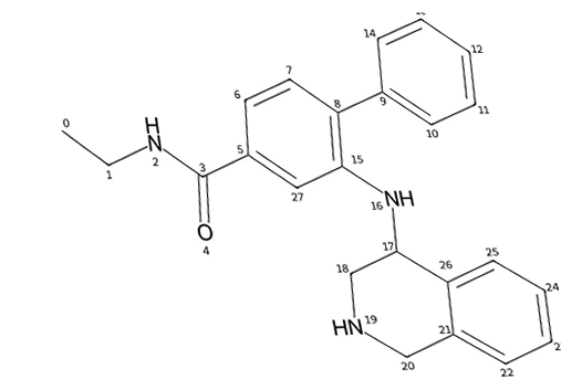 CCNC(=O)c1ccc(-c2ccccc2)c(NC2CNCc3ccccc32)c1